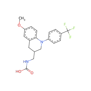 COc1ccc2c(c1)CC(CNC(=O)O)CN2c1ccc(C(F)(F)F)cc1